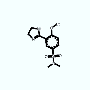 CCOc1ccc(S(=O)(=O)N(C)C)cc1C1=NCCN1